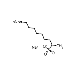 CCCCCCCCCCCCCCCCC(C)S(=O)(=O)[O-].[Na+]